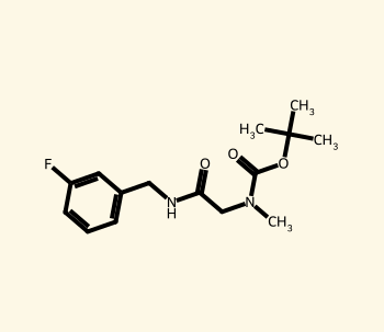 CN(CC(=O)NCc1cccc(F)c1)C(=O)OC(C)(C)C